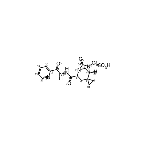 O=C(NNC(=O)[C@@H]1CC2(CC2)[C@@H]2CN1C(=O)N2OS(=O)(=O)O)c1ccccn1